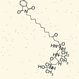 CC(C)(O)N[C@@H]1CO[C@@H]2[C@H](C1)OC(C)(C)N2CNS(=N)(=O)CCC(=O)CCCCCCCCCCCN1C(=O)c2ccccc2C1=O